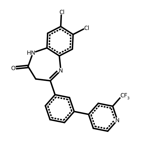 O=C1CC(c2cccc(-c3ccnc(C(F)(F)F)c3)c2)=Nc2cc(Cl)c(Cl)cc2N1